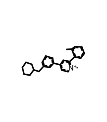 Cc1ccccc1-c1cc(-c2cccc(CC3CCCCC3)c2)cc[n+]1C